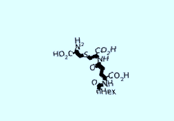 CCCCCCC(=O)N[C@H](CCC(=O)N[C@H](CSC[C@H](N)C(=O)O)C(=O)O)C(=O)O